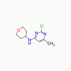 Cc1cc(NC2CCOCC2)nc(Cl)n1